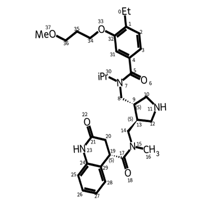 CCc1ccc(C(=O)N(C[C@@H]2CNC[C@H]2CN(C)C(=O)[C@H]2CC(=O)Nc3ccccc32)C(C)C)cc1OCCCOC